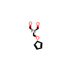 O=[CH][Fe]([CH]=O)[CH]=O.[CH]1C=CC=C1